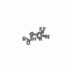 N#Cc1ncc(C2CCC2NC(=O)Br)cc1C(F)(F)F